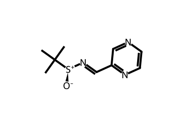 CC(C)(C)[S@+]([O-])/N=C/c1cnccn1